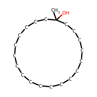 CC1(O)CCCCCCCCCCCCCCCCCCC1